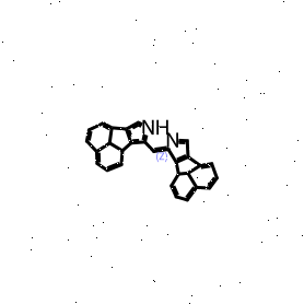 C1=CC2=CC=CC3C4=C(C=N/C4=C\c4[nH]cc5c4C4C=CC=C6C=CC=C5C64)C(=C1)C23